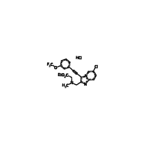 CCOC(=O)CN(C)Cc1nc2ccc(Cl)cn2c1C#Cc1cccc(OC(F)(F)F)c1.Cl